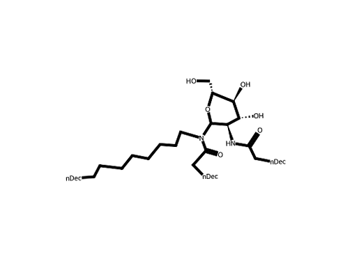 CCCCCCCCCCCCCCCCCCN(C(=O)CCCCCCCCCCC)C1O[C@H](CO)[C@@H](O)[C@H](O)[C@H]1NC(=O)CCCCCCCCCCC